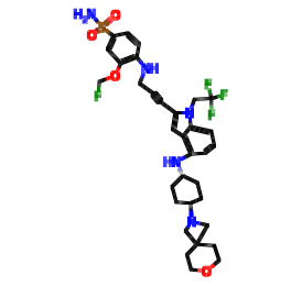 NS(=O)(=O)c1ccc(NCC#Cc2cc3c(N[C@H]4CC[C@H](N5CC6(CCOCC6)C5)CC4)cccc3n2CC(F)(F)F)c(OCF)c1